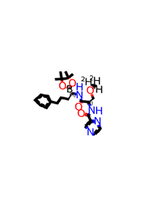 [2H]C([2H])([2H])OC[C@@H](NC(=O)c1cnccn1)C(=O)N[C@@H](CCCc1ccccc1)B1OC(C)(C)C(C)(C)O1